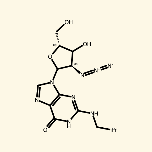 CC(C)CNc1nc2c(ncn2C2O[C@H](CO)C(O)[C@H]2N=[N+]=[N-])c(=O)[nH]1